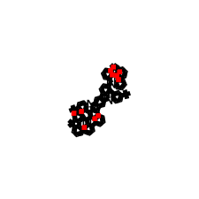 CC(C)(C)c1ccc2c(c1)c1c(N(c3ccccc3-c3ccccc3)c3cccc4c3-c3ccccc3C4(C)C)ccc3c4cc5c(cc4n2c31)c1ccc(N(c2ccccc2-c2ccccc2)c2cccc3c2-c2ccccc2C3(C)C)c2c3cc(C(C)(C)C)ccc3n5c12